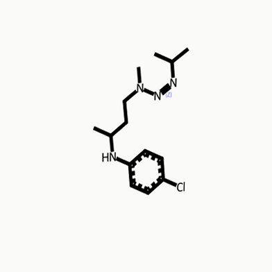 CC(C)/N=N\N(C)CCC(C)Nc1ccc(Cl)cc1